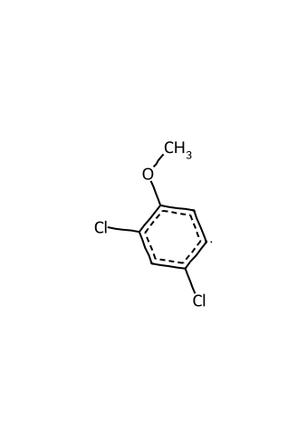 COc1c[c]c(Cl)cc1Cl